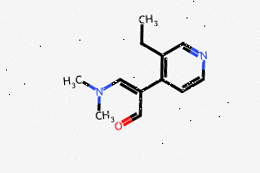 CCc1cnccc1C(C=O)=CN(C)C